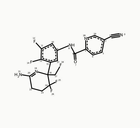 N#Cc1ccc(C(=O)Nc2cc(F)c(F)c(C3(CF)N=C(N)CCC3(F)F)c2)nc1